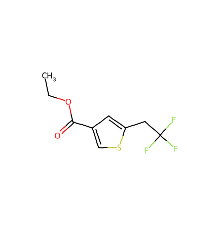 CCOC(=O)c1csc(CC(F)(F)F)c1